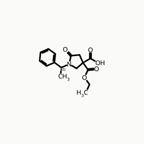 CCOC(=O)C1(C(=O)O)CC(=O)N([C@@H](C)c2ccccc2)C1